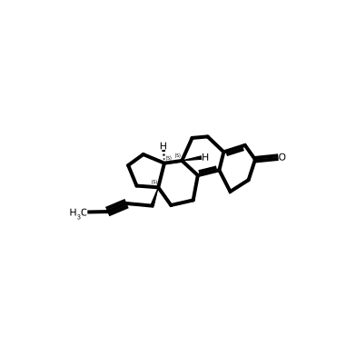 CC#CC[C@@]12CCC[C@H]1[C@@H]1CCC3=CC(=O)CCC3=C1CC2